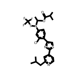 CC(C)Cc1cc(-c2nc(-c3ccc(N(SC(F)(F)F)C(C)OC(=O)C(C)C)cc3Cl)cs2)ccn1